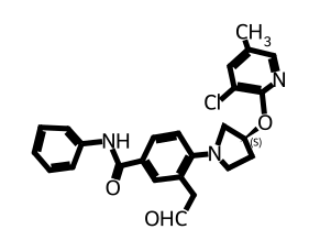 Cc1cnc(O[C@H]2CCN(c3ccc(C(=O)Nc4ccccc4)cc3CC=O)C2)c(Cl)c1